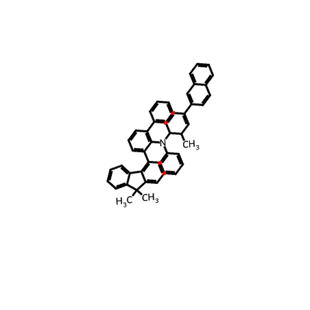 CC1C=C(c2ccc3ccccc3c2)C=CC1N(c1ccccc1)c1c(-c2ccccc2)cccc1-c1cccc2c1-c1ccccc1C2(C)C